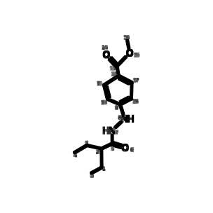 CCC(CC)C(=O)NNc1ccc(C(=O)OC)cc1